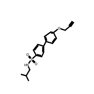 C#CCOc1ccc(-c2ccc(S(=O)(=O)NCC(C)C)cc2)cc1